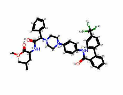 COC(=O)C(CC(C)C)NC(=O)C(c1ccccc1)N1CCN(c2ccc(NC(=O)c3ccccc3-c3ccc(C(F)(F)F)cc3)cc2)CC1